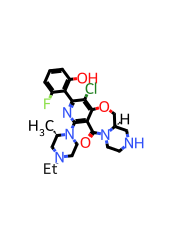 CCN1CCN(c2nc(-c3c(O)cccc3F)c(Cl)c3c2C(=O)N2CCNC[C@@H]2CO3)[C@@H](C)C1